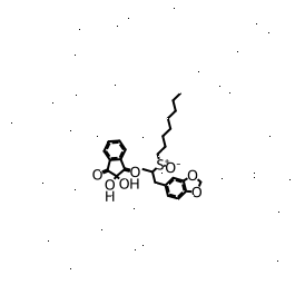 CCCCCCCC[S+]([O-])C(C)Cc1ccc2c(c1)OCO2.O=C1c2ccccc2C(=O)C1(O)O